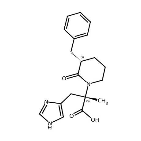 C[C@](Cc1c[nH]cn1)(C(=O)O)N1CCC[C@@H](Cc2ccccc2)C1=O